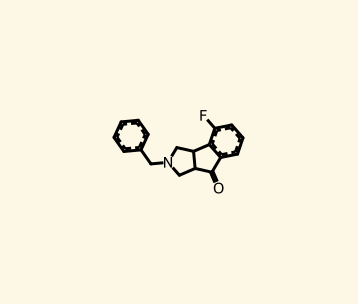 O=C1c2cccc(F)c2C2CN(Cc3ccccc3)CC12